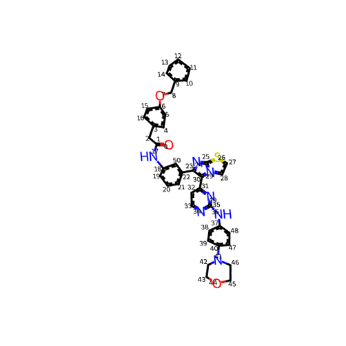 O=C(Cc1ccc(OCc2ccccc2)cc1)Nc1cccc(-c2nc3sccn3c2-c2ccnc(Nc3ccc(N4CCOCC4)cc3)n2)c1